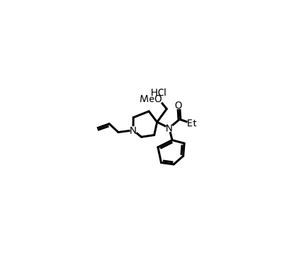 C=CCN1CCC(COC)(N(C(=O)CC)c2ccccc2)CC1.Cl